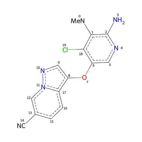 CNc1c(N)ncc(Oc2cnn3cc(C#N)ccc23)c1Cl